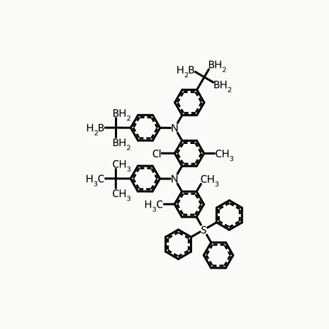 BC(B)(B)c1ccc(N(c2ccc(C(B)(B)B)cc2)c2cc(C)cc(N(c3ccc(C(C)(C)C)cc3)c3c(C)cc(S(c4ccccc4)(c4ccccc4)c4ccccc4)cc3C)c2Cl)cc1